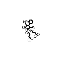 COC(=O)CCC(=O)N(C(=O)CCC(=O)OC)c1nc(OC)c(C#N)c(-c2ccccc2F)c1C#N